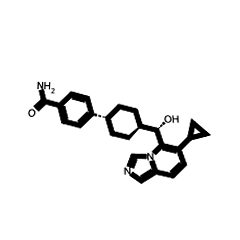 NC(=O)c1ccc([C@H]2CC[C@H]([C@H](O)c3c(C4CC4)ccc4cncn34)CC2)cc1